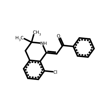 CC1(C)Cc2cccc(Cl)c2C(=CC(=O)c2ccccc2)N1